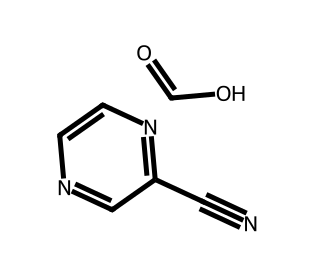 N#Cc1cnccn1.O=CO